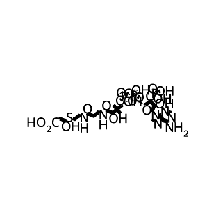 CC(C)(COP(=O)(O)OP(=O)(O)OC[C@H]1O[C@@H](n2cnc3c(N)ncnc32)[C@H](O)[C@@H]1OP(=O)(O)O)C(O)C(=O)NCCC(=O)NCCSC(O)CC(=O)O